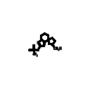 O=C(O)N1CCC2(CCCn3nc(OS(=O)(=O)C(F)(F)F)cc32)C1